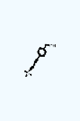 C[Si](C)(C)C#CC#Cc1ccc(CO)cc1